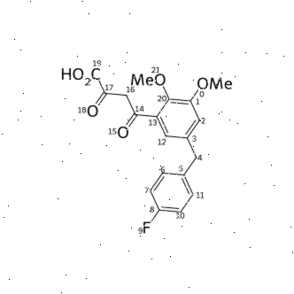 COc1cc(Cc2ccc(F)cc2)cc(C(=O)CC(=O)C(=O)O)c1OC